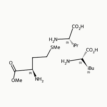 CC(C)[C@H](N)C(=O)O.CC[C@H](C)[C@H](N)C(=O)O.COC(=O)[C@H](N)CCSC